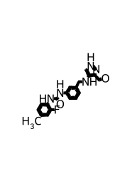 Cc1ccc(NC(=O)Nc2cccc(CNc3c[nH]nc3C=O)c2)c(F)c1